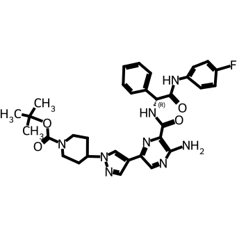 CC(C)(C)OC(=O)N1CCC(n2cc(-c3cnc(N)c(C(=O)N[C@@H](C(=O)Nc4ccc(F)cc4)c4ccccc4)n3)cn2)CC1